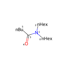 CCCCCCN(CCCCCC)C(=O)CCCC